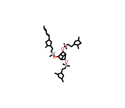 C/C=C/C=C/C1CC(C)C(CC[Si](C)(C)OC2C3C(O[Si](C)(C)CCC4CC(C)CC4C)C4C(O[Si](C)(C)CCC5CC(C)CC5C)C2C43)C1